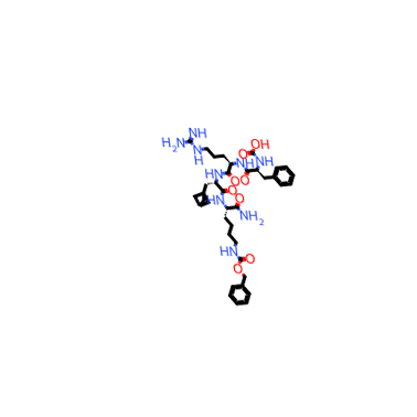 N=C(N)NCCC[C@@H](NC(=O)[C@H](Cc1ccccc1)NC(=O)O)C(=O)N[C@@H](CC12CC(C1)C2)C(=O)N[C@@H](CCCCNC(=O)OCc1ccccc1)C(N)=O